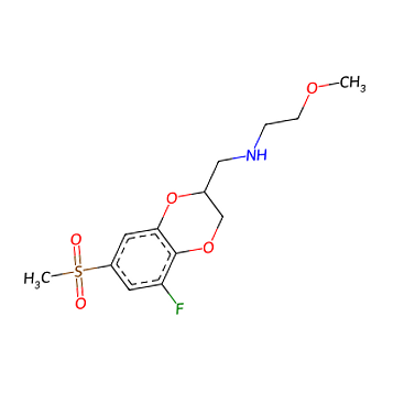 COCCNCC1COc2c(F)cc(S(C)(=O)=O)cc2O1